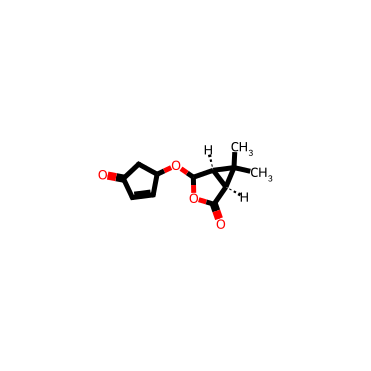 CC1(C)[C@@H]2C(OC3C=CC(=O)C3)OC(=O)[C@@H]21